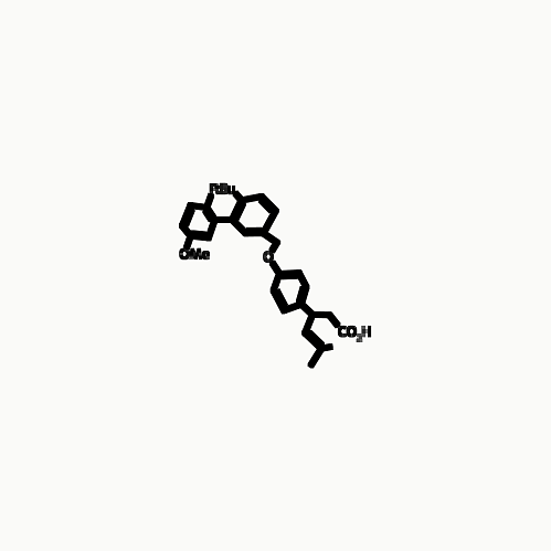 COc1ccc(F)c(-c2cc(COc3ccc(C(C=C(C)C)CC(=O)O)cc3)ccc2C(C)(C)C)c1